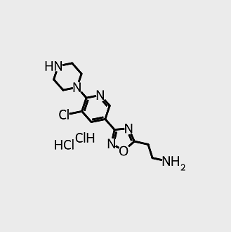 Cl.Cl.NCCc1nc(-c2cnc(N3CCNCC3)c(Cl)c2)no1